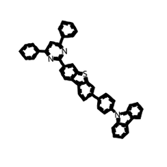 c1ccc(-c2cc(-c3ccccc3)nc(-c3ccc4c(c3)sc3cc(-c5ccc(-n6c7ccccc7c7ccccc76)cc5)ccc34)n2)cc1